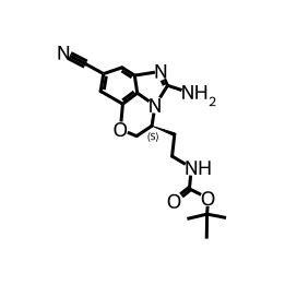 CC(C)(C)OC(=O)NCC[C@H]1COc2cc(C#N)cc3nc(N)n1c23